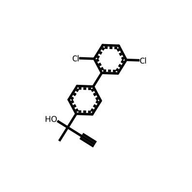 C#CC(C)(O)c1ccc(-c2cc(Cl)ccc2Cl)cc1